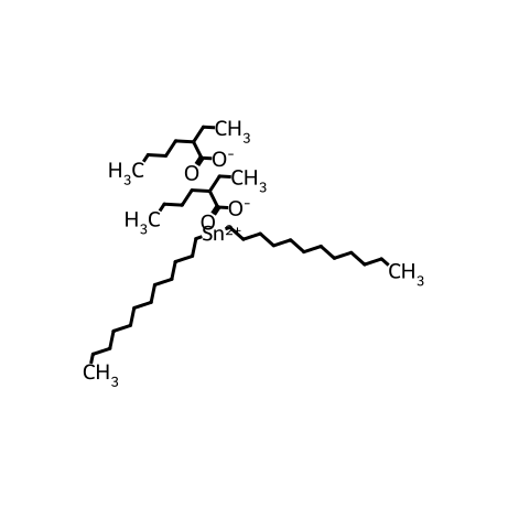 CCCCC(CC)C(=O)[O-].CCCCC(CC)C(=O)[O-].CCCCCCCCCCC[CH2][Sn+2][CH2]CCCCCCCCCCC